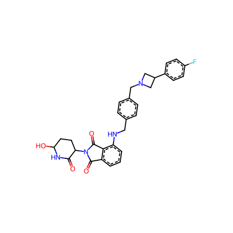 O=C1NC(O)CCC1N1C(=O)c2cccc(NCc3ccc(CN4CC(c5ccc(F)cc5)C4)cc3)c2C1=O